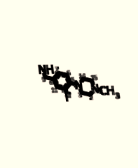 CN1CCN(c2ccc(CN)cc2F)CC1